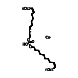 CCCCCCCC/C=C\CCCCCCCCOP(=O)(O)OCCCCCCCC/C=C\CCCCCCCC.[Co]